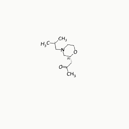 C[C](C)CN1CCO[C@H](CC(C)=O)C1